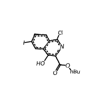 CCCCOC(=O)c1nc(Cl)c2ccc(I)cc2c1O